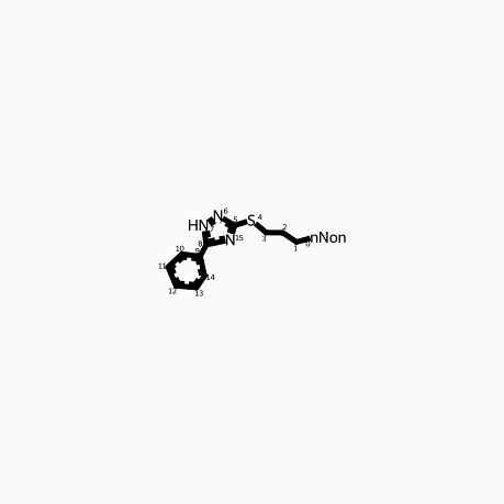 CCCCCCCCCCCCSc1n[nH]c(-c2ccccc2)n1